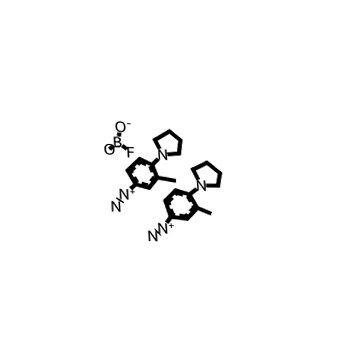 Cc1cc([N+]#N)ccc1N1CCCC1.Cc1cc([N+]#N)ccc1N1CCCC1.[O-]B([O-])F